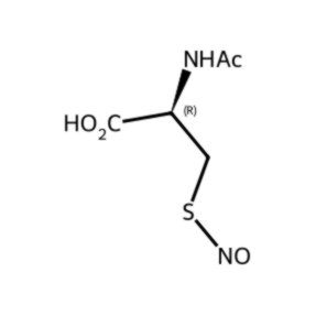 CC(=O)N[C@@H](CSN=O)C(=O)O